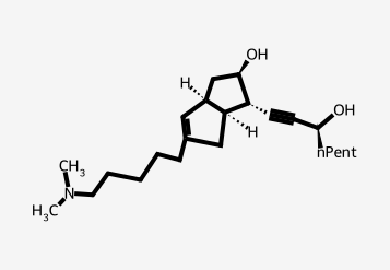 CCCCC[C@H](O)C#C[C@@H]1[C@H]2CC(CCCCCN(C)C)=C[C@H]2C[C@H]1O